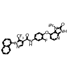 CC(C)n1c(=O)[nH]c2nccc(Oc3ccc(NC(=O)c4cnn(-c5cccc6ccccc56)c4C(F)(F)F)cc3F)c21